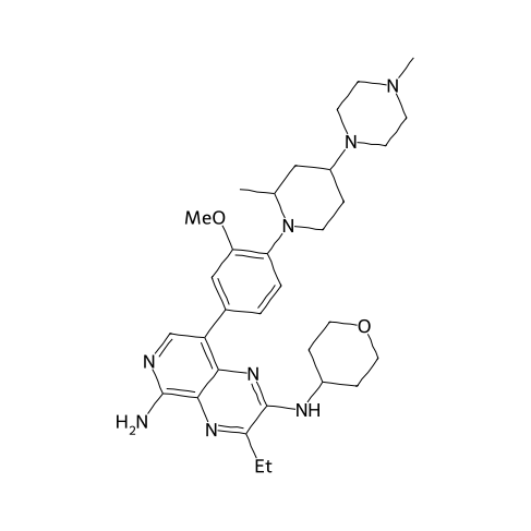 CCc1nc2c(N)ncc(-c3ccc(N4CCC(N5CCN(C)CC5)CC4C)c(OC)c3)c2nc1NC1CCOCC1